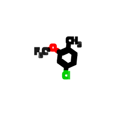 Cc1ccc(Cl)cc1OC(F)(F)F